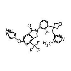 Cn1cnnc1[C@H](F)C1(c2cccc(N3Cc4c(cc(Oc5cn[nH]c5)cc4C(F)(F)F)C3=O)c2)COC1